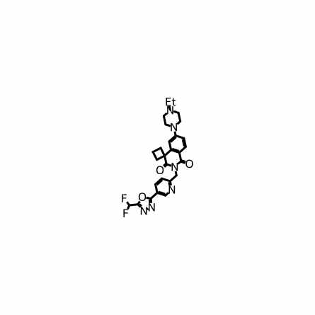 CCN1CCN(c2ccc3c(c2)C2(CCC2)C(=O)N(Cc2ccc(-c4nnc(C(F)F)o4)cn2)C3=O)CC1